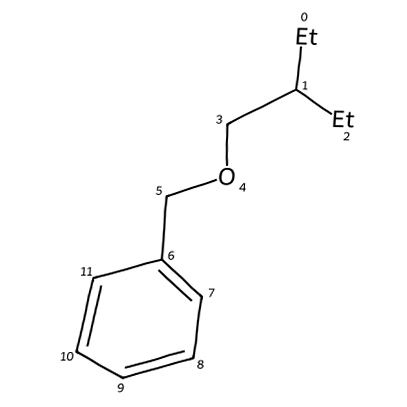 CCC(CC)COCc1ccccc1